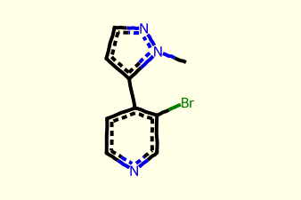 Cn1nccc1-c1ccncc1Br